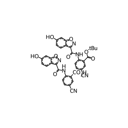 CC(C)(C)OC(=O)c1cc(C#N)ccc1NC(=O)c1noc2cc(O)ccc12.N#Cc1ccc(NC(=O)c2noc3cc(O)ccc23)c(C(=O)O)c1